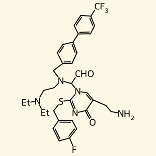 CCN(CC)CCN(Cc1ccc(-c2ccc(C(F)(F)F)cc2)cc1)C(C=O)n1cc(CCN)c(=O)nc1SCc1ccc(F)cc1